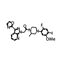 COc1cc(N2CCN(C(=O)Cn3nc(-c4ncco4)c4cccnc43)C(C)C2)c(F)cc1I